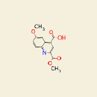 COC(=O)c1cc(C(=O)O)c2cc(OC)ccc2n1